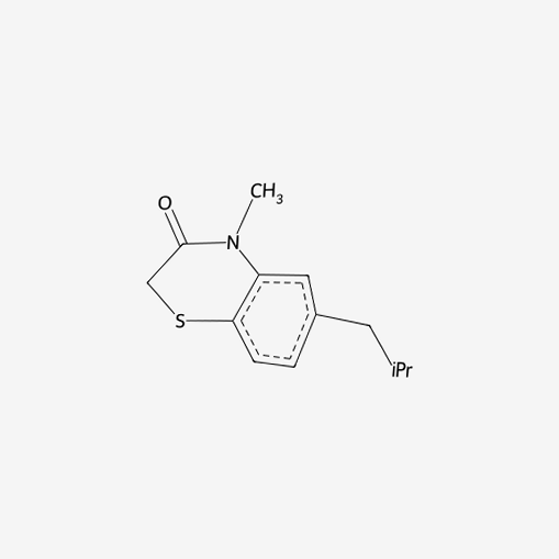 CC(C)Cc1ccc2c(c1)N(C)C(=O)CS2